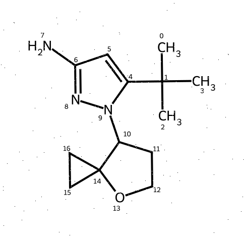 CC(C)(C)c1cc(N)nn1C1CCOC12CC2